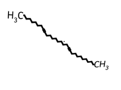 CCCCCCCCC#CCCCCC[CH]CCC#CCCCCCCCCCC